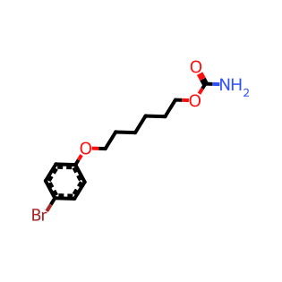 NC(=O)OCCCCCCOc1ccc(Br)cc1